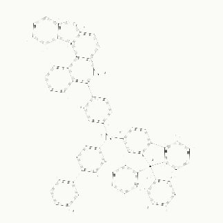 c1ccc(-c2ccc(N(c3ccc(-c4nc5ccc6oc7ccccc7c6c5c5ccccc45)cc3)c3ccc4c(c3)C(c3ccccc3)(c3ccccc3)c3ccccc3-4)cc2)cc1